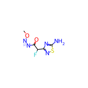 CO/N=N\C(=O)C(F)c1nsc(N)n1